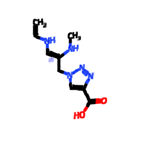 C=CN/C=C(/Cn1cc(C(=O)O)nn1)NC